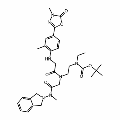 CCN(CCN(CC(=O)N(C)N1Cc2ccccc2C1)C(=O)CNc1ccc(-c2nn(C)c(=O)o2)cc1C)C(=O)OC(C)(C)C